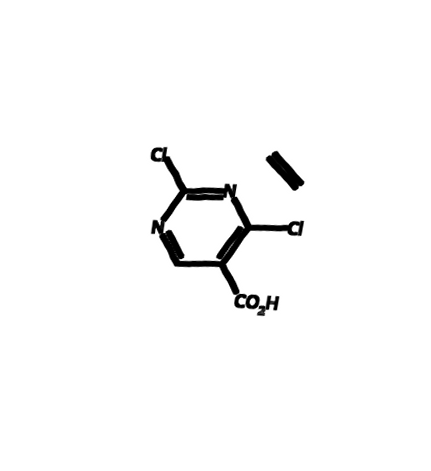 C=C.O=C(O)c1cnc(Cl)nc1Cl